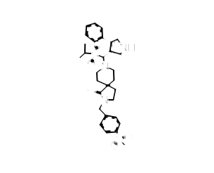 CC(C)S(=O)(=O)C([C@@H]1CNC[C@@H]1c1ccccc1)N1CCC2(CCN(Cc3ccc(S(C)(=O)=O)cc3)C2=O)CC1